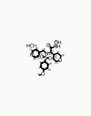 COc1ccc(S(=O)(=O)N(Cc2ccncc2)[C@@H](C(=O)NO)C2CCOCC2)cc1.Cl